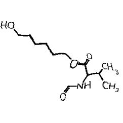 CC(C)C(NC=O)C(=O)OCCCCCCO